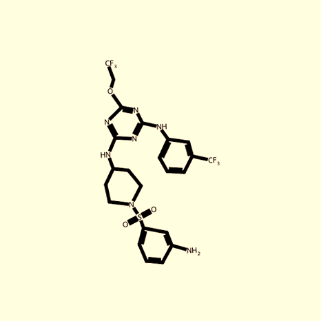 Nc1cccc(S(=O)(=O)N2CCC(Nc3nc(Nc4cccc(C(F)(F)F)c4)nc(OCC(F)(F)F)n3)CC2)c1